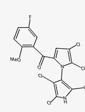 COc1ccc(F)cc1C(=O)c1cc(Cl)c(Cl)n1-c1c(C(=O)O)[nH]c(Cl)c1Cl